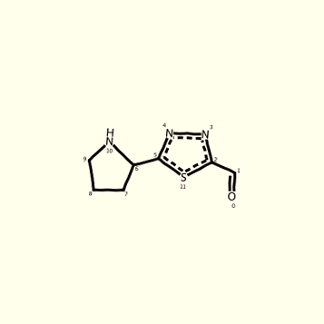 O=Cc1nnc(C2CCCN2)s1